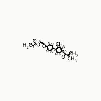 C=CC(=O)O/C=C\Oc1ccc(-c2ccc(OC(=O)C(=C)C)cc2C)cc1